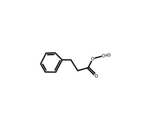 O=COC(=O)CCc1ccccc1